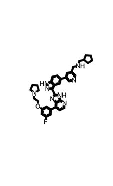 Fc1cc(OCCN2CCCC2)cc(-c2ccnc3[nH]c(-c4n[nH]c5ccc(-c6cncc(CNCC7CCCC7)c6)cc45)nc23)c1